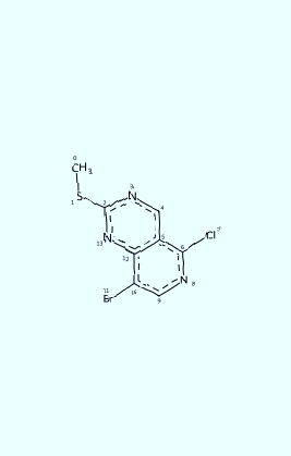 CSc1ncc2c(Cl)ncc(Br)c2n1